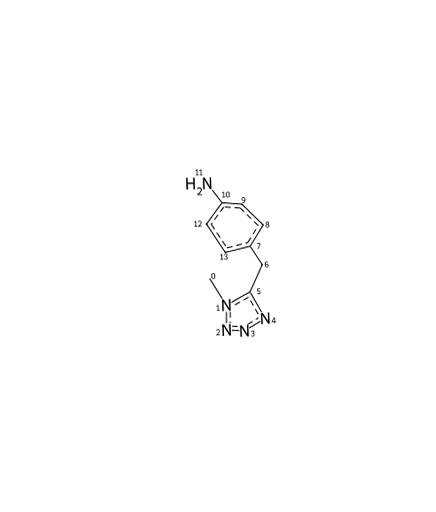 Cn1nnnc1Cc1ccc(N)cc1